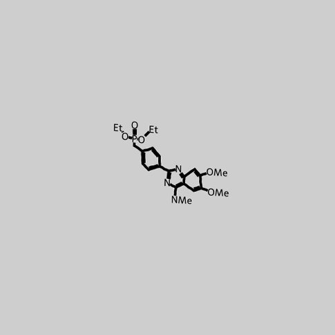 CCOP(=O)(Cc1ccc(-c2nc(NC)c3cc(OC)c(OC)cc3n2)cc1)OCC